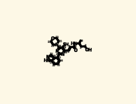 CC(CCO)NC(=O)/C=C/c1nc(-c2cccc3[nH]ncc23)nc(N2CCOCC2)c1S